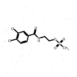 CS(=O)(=O)OCCNC(=O)c1ccc(Cl)c(Cl)c1